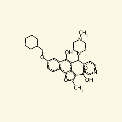 Cc1oc2c(c1C(=O)O)c(C(c1ccncc1)N1CCN(C)CC1)c(O)c1cc(OCC3CCCCC3)ccc12